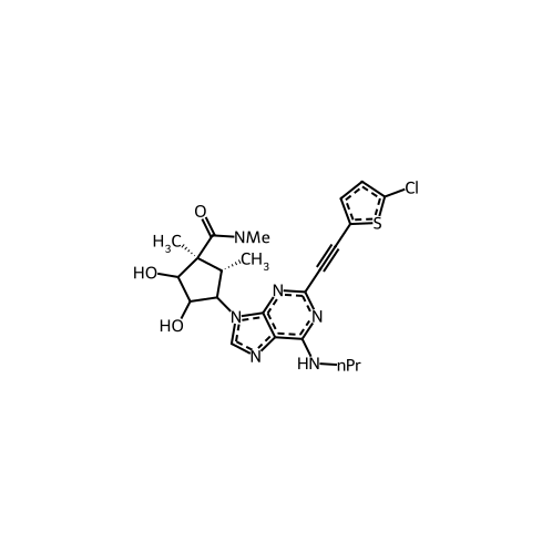 CCCNc1nc(C#Cc2ccc(Cl)s2)nc2c1ncn2C1C(O)C(O)[C@@](C)(C(=O)NC)[C@@H]1C